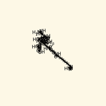 CC(=O)N1CCC[C@H]1C(=O)N[C@@H](CCCNC(=N)N)C(=O)N[C@@H](CC(=O)O)C(=O)N[C@@H](CCCCN(CC(=O)O)CC(=O)O)C(=O)N[C@@H](CCCCNC(=O)COCCOCCNC(=O)CCCCCCCCCCCCCCCc1nnn[nH]1)C(N)=O